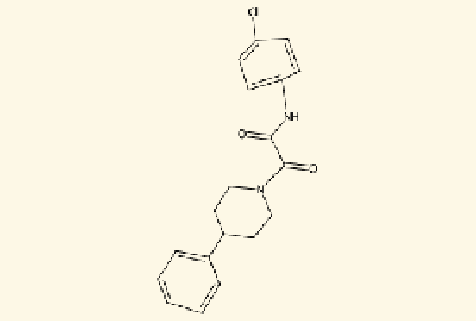 O=C(Nc1ccc(Cl)cc1)C(=O)N1CCC(c2ccccc2)CC1